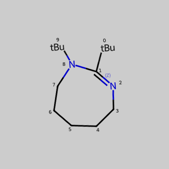 CC(C)(C)/C1=N/CCCCCN1C(C)(C)C